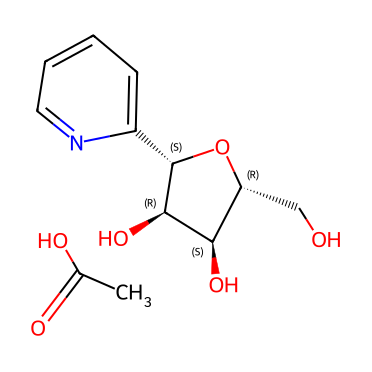 CC(=O)O.OC[C@H]1O[C@@H](c2ccccn2)[C@H](O)[C@@H]1O